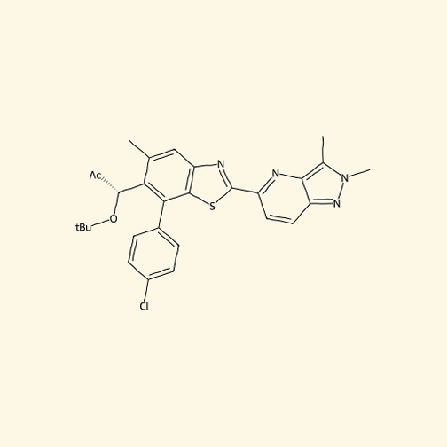 CC(=O)[C@@H](OC(C)(C)C)c1c(C)cc2nc(-c3ccc4nn(C)c(C)c4n3)sc2c1-c1ccc(Cl)cc1